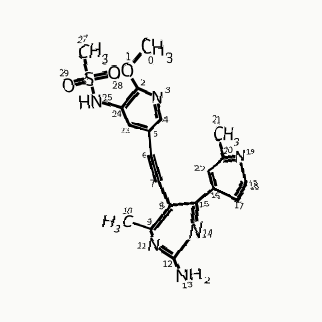 COc1ncc(C#Cc2c(C)nc(N)nc2-c2ccnc(C)c2)cc1NS(C)(=O)=O